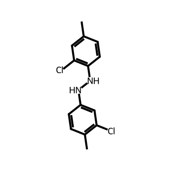 Cc1ccc(NNc2ccc(C)c(Cl)c2)c(Cl)c1